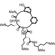 CNCCCC(CNC(=O)C[C@H](CCCNC)NC(=O)[C@@H]1Cc2cccc(c2)-c2ccc(O)c(c2)C[C@H](NC)C(=O)N[C@@H](C[C@@H](O)CNC)C(=O)N1C)NC